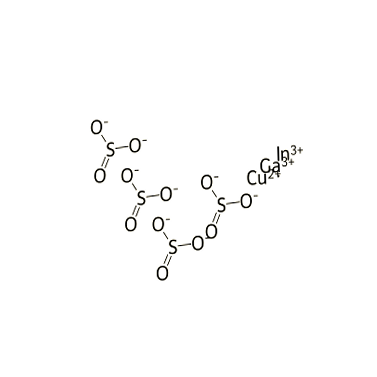 O=S([O-])[O-].O=S([O-])[O-].O=S([O-])[O-].O=S([O-])[O-].[Cu+2].[Ga+3].[In+3]